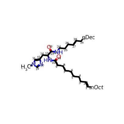 CCCCCCCCC=CCCCCCCCC(=O)NC(Cc1cn(C)cn1)C(=O)NCCCCCCCCCCCCCCCC